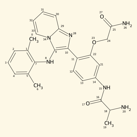 Cc1cccc(C)c1Nc1c(-c2ccc(NC(=O)C(C)N)cc2OCC(N)=O)nc2ccccn12